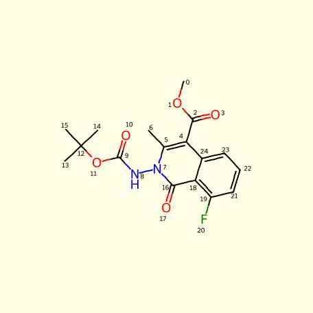 COC(=O)c1c(C)n(NC(=O)OC(C)(C)C)c(=O)c2c(F)cccc12